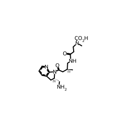 C[C@H](CNC(=O)CCN(C)C(=O)O)CC(=O)N1c2ncccc2C[C@H]1CN